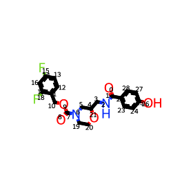 O=C(NCC1CN(C(=O)OCc2ccc(F)cc2F)CCO1)c1ccc(O)cc1